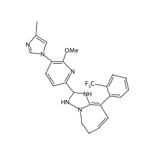 COc1nc(C2NC3=C(c4ccccc4C(F)(F)F)C=CCCN3N2)ccc1-n1cnc(C)c1